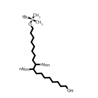 CCCCCCCCCC(CCCCCCCCO)C(CCCCCCCCC)CCCCCCCCO[Si](C)(C)C(C)(C)C